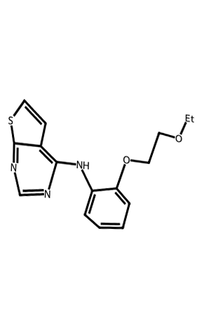 CCOCCOc1ccccc1Nc1ncnc2sccc12